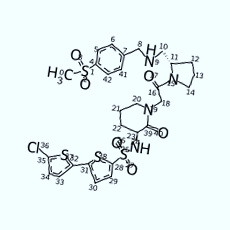 CS(=O)(=O)c1ccc(CNC[C@@H]2CCCN2C(=O)CN2CCC[C@H](NS(=O)(=O)c3ccc(-c4ccc(Cl)s4)s3)C2=O)cc1